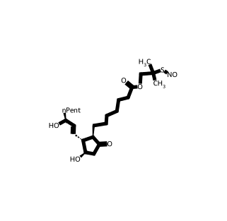 CCCCC[C@H](O)/C=C/[C@H]1[C@H](O)CC(=O)[C@@H]1CCCCCCC(=O)OCC(C)(C)SN=O